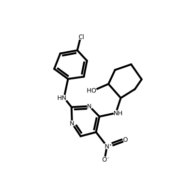 O=[N+]([O-])c1cnc(Nc2ccc(Cl)cc2)nc1NC1CCCCC1O